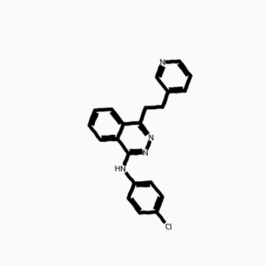 Clc1ccc(Nc2nnc(CCc3cccnc3)c3ccccc23)cc1